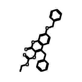 CCOC(=O)Oc1c(Cc2ccccc2)c2ccc(OCc3ccccc3)cc2oc1=O